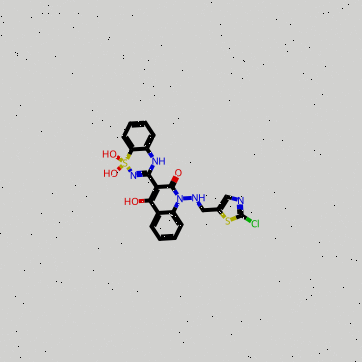 O=c1c(C2=NS(O)(O)c3ccccc3N2)c(O)c2ccccc2n1NCc1cnc(Cl)s1